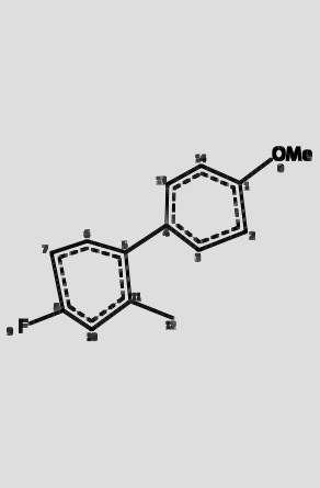 COc1ccc(-c2ccc(F)cc2C)cc1